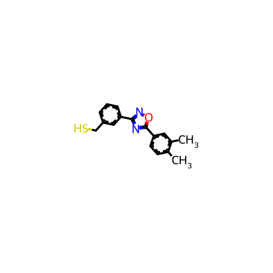 Cc1ccc(-c2nc(-c3cccc(CS)c3)no2)cc1C